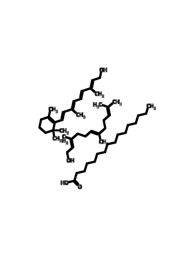 CC(C)=CCCC(C)=CCCC(C)=CCO.CC1=C(/C=C/C(C)=C/C=C/C(C)=C/CO)C(C)(C)CCC1.CCCCCCCCCCCCCCCC(=O)O